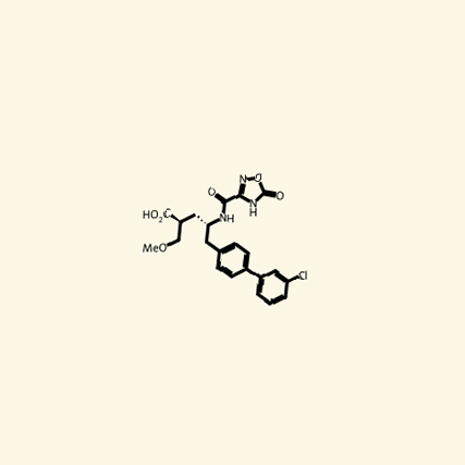 COC[C@H](C[C@@H](Cc1ccc(-c2cccc(Cl)c2)cc1)NC(=O)c1noc(=O)[nH]1)C(=O)O